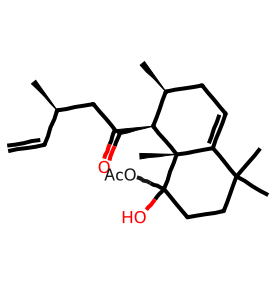 C=C[C@@H](C)CC(=O)[C@H]1[C@@H](C)CC=C2C(C)(C)CCC(O)(OC(C)=O)[C@@]21C